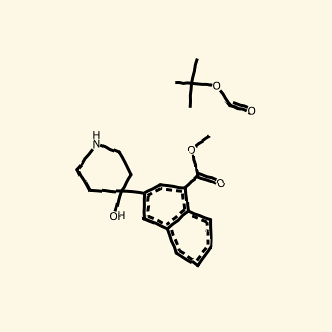 CC(C)(C)OC=O.COC(=O)c1cc(C2(O)CCNCC2)cc2ccccc12